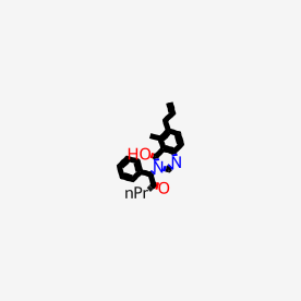 C=CCc1ccc2c(c1C)C(O)N(C(C(=O)CCC)c1ccccc1)C=N2